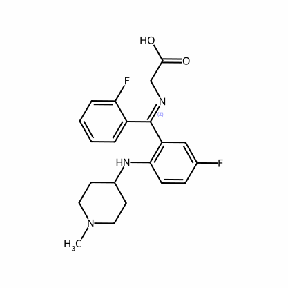 CN1CCC(Nc2ccc(F)cc2/C(=N/CC(=O)O)c2ccccc2F)CC1